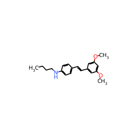 CCCCNc1ccc(/C=C/c2cc(OC)cc(OC)c2)cc1